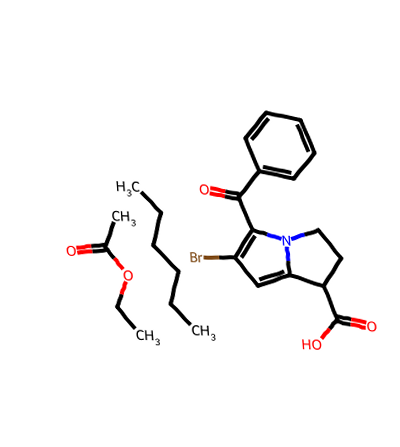 CCCCCC.CCOC(C)=O.O=C(c1ccccc1)c1c(Br)cc2n1CCC2C(=O)O